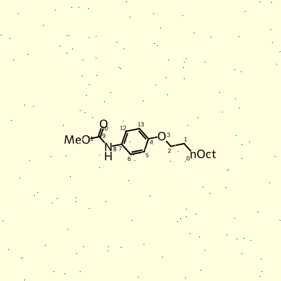 CCCCCCCCCCOc1ccc(NC(=O)OC)cc1